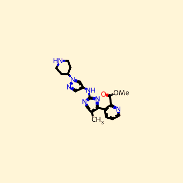 COC(=O)c1ncccc1-c1nc(Nc2cnn(C3CCNCC3)c2)ncc1C